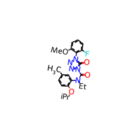 CCN(C(=O)n1nnn(-c2c(F)cccc2OC)c1=O)c1cc(C)ccc1OC(C)C